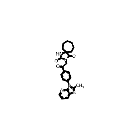 Cc1nc2cccnc2n1-c1ccc(C(=O)CN2C(=O)NC3(CCCCCC3)C2=O)cc1